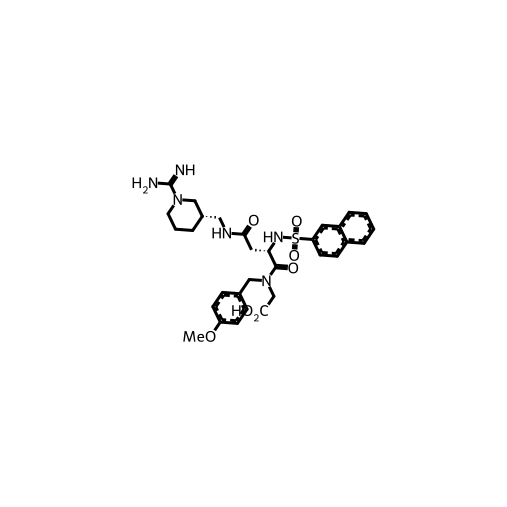 COc1ccc(CN(CC(=O)O)C(=O)[C@H](CC(=O)NC[C@@H]2CCCN(C(=N)N)C2)NS(=O)(=O)c2ccc3ccccc3c2)cc1